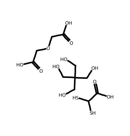 O=C(O)C(S)S.O=C(O)COCC(=O)O.OCC(CO)(CO)CO